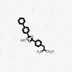 Cl.NC(Cc1ccc(-c2nnc(-c3ccc(-c4ccccc4)cc3)o2)cc1)C(=O)O